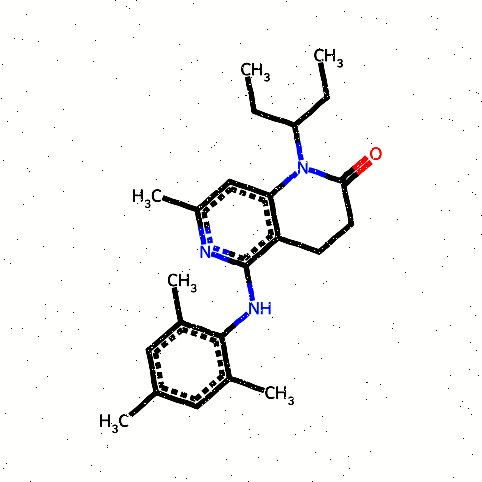 CCC(CC)N1C(=O)CCc2c1cc(C)nc2Nc1c(C)cc(C)cc1C